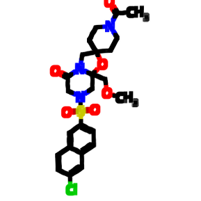 COCC12CN(S(=O)(=O)c3ccc4cc(Cl)ccc4c3)CC(=O)N1CC1(CCN(C(C)=O)CC1)O2